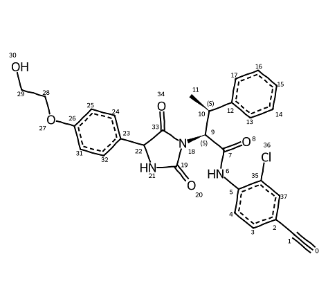 C#Cc1ccc(NC(=O)[C@H]([C@@H](C)c2ccccc2)N2C(=O)NC(c3ccc(OCCO)cc3)C2=O)c(Cl)c1